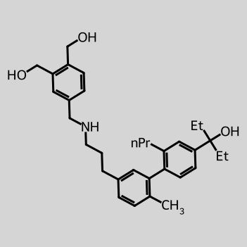 CCCc1cc(C(O)(CC)CC)ccc1-c1cc(CCCNCc2ccc(CO)c(CO)c2)ccc1C